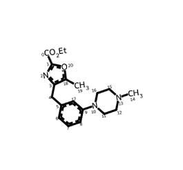 CCOC(=O)c1nc(Cc2cccc(N3CCN(C)CC3)c2)c(C)o1